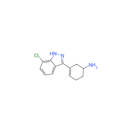 NC1CCC=C(c2n[nH]c3c(Cl)cccc23)C1